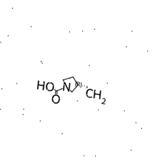 C=C[C@H]1CCN(C(=O)O)C1